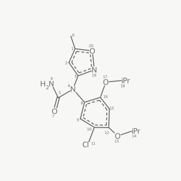 Cc1cc(N(C(N)=O)c2cc(Cl)c(OC(C)C)cc2OC(C)C)no1